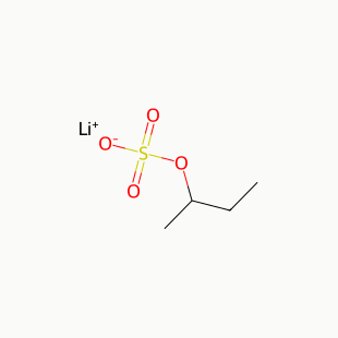 CCC(C)OS(=O)(=O)[O-].[Li+]